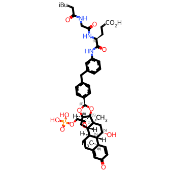 CCC(C)CC(=O)NCC(=O)N[C@@H](CCC(=O)O)C(=O)Nc1cccc(Cc2ccc([C@@H]3O[C@@H]4C[C@H]5[C@@H]6CCC7=CC(=O)C=C[C@]7(C)[C@H]6[C@@H](O)C[C@]5(C)[C@]4(C(=O)COP(=O)(O)O)O3)cc2)c1